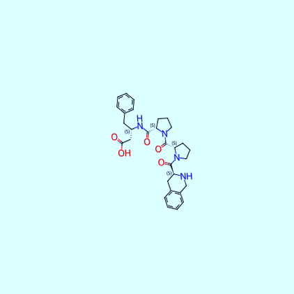 O=C(O)C[C@H](Cc1ccccc1)NC(=O)[C@@H]1CCCN1C(=O)[C@@H]1CCCN1C(=O)[C@@H]1Cc2ccccc2CN1